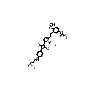 CCCCN=C1C=CC(=C2C(=O)C(c3ccc(/C=C/c4cc(OC)ccc4OC)n3C)=C2O)C=C1